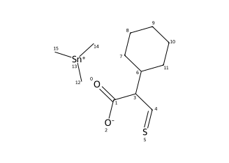 O=C([O-])C(C=S)C1CCCCC1.[CH3][Sn+]([CH3])[CH3]